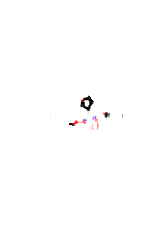 CC(C)OC(O)N(C(O)OC(C)(C)C)[C@H]1C=CC(O)C1